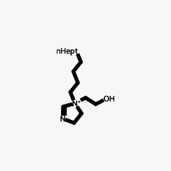 CCCCCCCCCCC[N+]1(CCO)C=NCC1